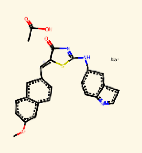 CC(=O)O.COc1ccc2cc(/C=C3\SC(Nc4ccc5[n-]ccc5c4)=NC3=O)ccc2c1.[Na+]